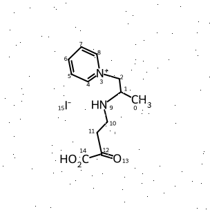 CC(C[n+]1ccccc1)NCCC(=O)C(=O)O.[I-]